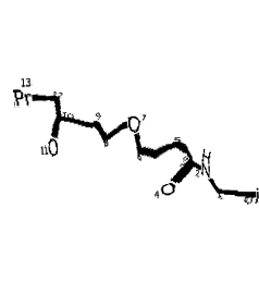 CC(C)CNC(=O)CCOCCC(=O)CC(C)C